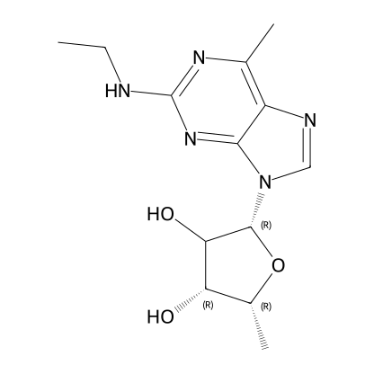 CCNc1nc(C)c2ncn([C@@H]3O[C@H](C)[C@H](O)C3O)c2n1